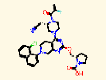 C=C(F)C(=O)N1CCN(c2nc(OC[C@@H]3CCCN3C(=O)O)nc3c2CCN(c2cccc4cccc(Cl)c24)C3)C[C@@H]1CC#N